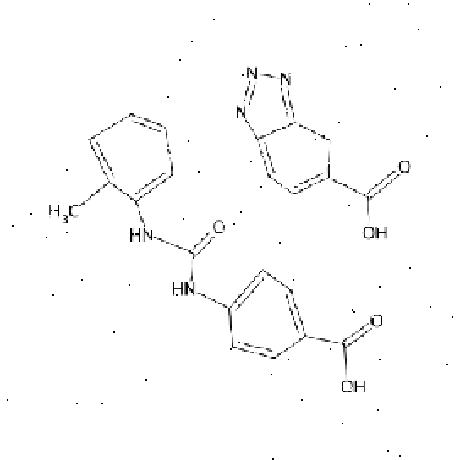 Cc1ccccc1NC(=O)Nc1ccc(C(=O)O)cc1.O=C(O)C1=CC=C2N=NN=C2C1